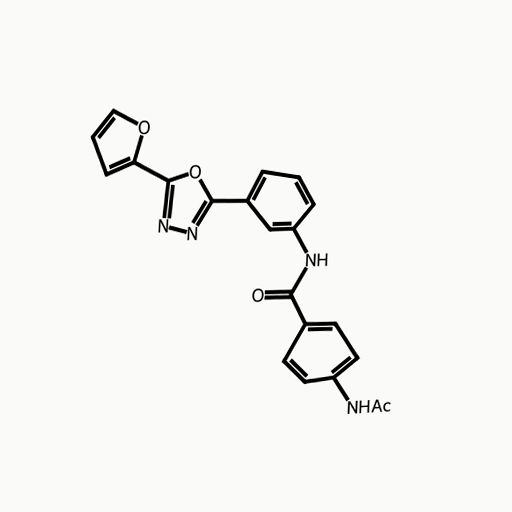 CC(=O)Nc1ccc(C(=O)Nc2cccc(-c3nnc(-c4ccco4)o3)c2)cc1